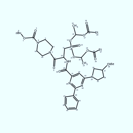 CCCCOC(=O)N1CCN(C(=O)C(CP(=O)(OC(C)OC(=O)CC)OC(C)OC(=O)CC)NC(=O)c2cc(N3CCC(OC)C3)nc(-c3ccccc3)n2)CC1